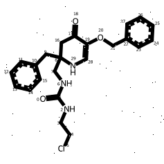 O=C(NCCCl)NCC1(Cc2ccccc2)CC(=O)C(OCc2ccccc2)=CN1